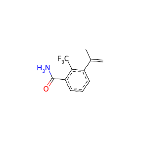 C=C(C)c1cccc(C(N)=O)c1C(F)(F)F